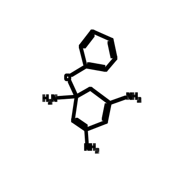 NC1=CC(N)(Oc2ccccc2)CC(N)=C1